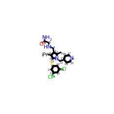 Cc1c(CNCC(N)=O)c(C(C)C)c(Sc2cc(Cl)cc(Cl)c2)n1Cc1ccncc1